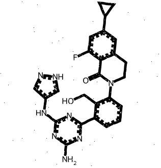 Nc1nc(Nc2cn[nH]c2)nc(-c2cccc(N3CCc4cc(C5CC5)cc(F)c4C3=O)c2CO)n1